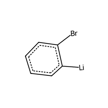 [Li][c]1ccccc1Br